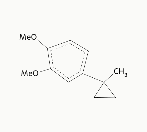 COc1ccc(C2(C)CC2)cc1OC